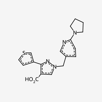 O=C(O)c1cn(Cc2ccc(N3CCCC3)nc2)nc1-c1ccsc1